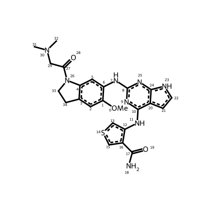 COc1cc2c(cc1Nc1nc(Nc3cscc3C(N)=O)c3cc[nH]c3n1)N(C(=O)CN(C)C)CC2